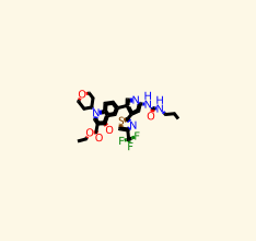 CCCNC(=O)Nc1cc(-c2nc(C(F)(F)F)cs2)c(-c2ccc3c(c2)c(=O)c(C(=O)OCC)cn3C2CCOCC2)cn1